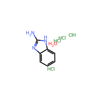 Cl.Cl.Cl.Cl.Nc1nc2ccccc2[nH]1.O